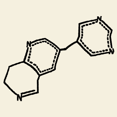 C1=NCCc2ncc(-c3cncnc3)cc21